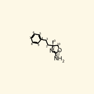 C[C@@]1(CCc2ccccc2)COC(N)=N1